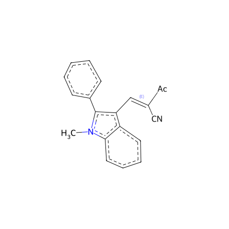 CC(=O)/C(C#N)=C/c1c(-c2ccccc2)n(C)c2ccccc12